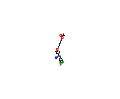 C=C(C)C(=O)OCCCCCCCCOc1ccc(/C(C#N)=C/c2ccc(C(F)(F)F)cc2)cc1C